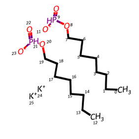 CCCCCCCCO[PH](=O)[O-].CCCCCCCCO[PH](=O)[O-].[K+].[K+]